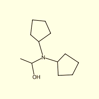 CC(O)N(C1CCCC1)C1CCCC1